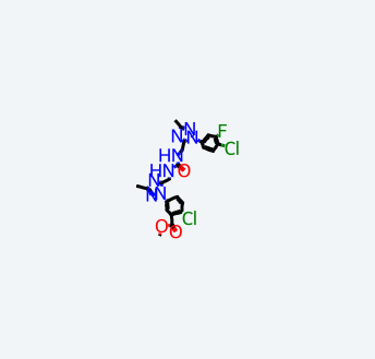 COC(=O)c1cc(-n2nc(C)nc2CNC(=O)NCc2nc(C)nn2-c2ccc(Cl)c(F)c2)ccc1Cl